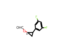 O=CO[C@@H]1CC1c1cc(F)cc(F)c1